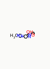 CN1CCN(C2CCc3nn(-c4ccco4)c(O)c3C2)CC1